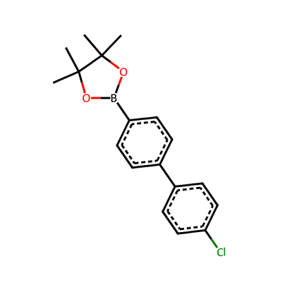 CC1(C)OB(c2ccc(-c3ccc(Cl)cc3)cc2)OC1(C)C